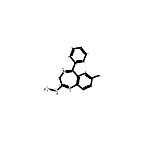 Cc1ccc2c(c1)C(c1ccccc1)=NCC(NN)=N2